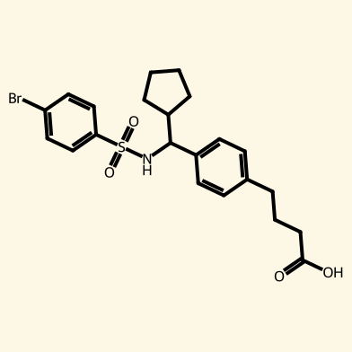 O=C(O)CCCc1ccc(C(NS(=O)(=O)c2ccc(Br)cc2)C2CCCC2)cc1